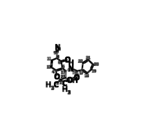 CC1(C)OC2=C(C(=O)C(C#N)C=C2)[C@H](NC(=O)c2ccccc2)[C@@H]1O